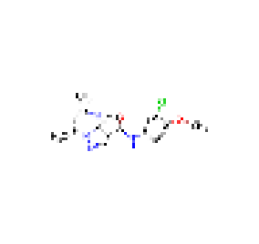 COc1ccc(NC(=O)C2C=NN3C(C)=CC(C)=NC23C)cc1Cl